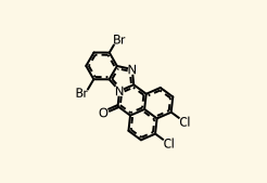 O=c1c2ccc(Cl)c3c(Cl)ccc(c32)c2nc3c(Br)ccc(Br)c3n12